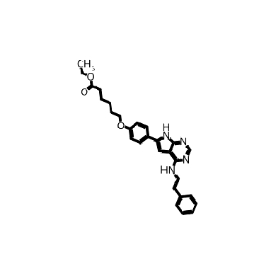 CCOC(=O)CCCCCOc1ccc(-c2cc3c(NCCc4ccccc4)ncnc3[nH]2)cc1